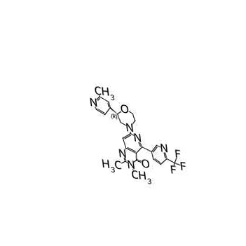 Cc1cc([C@@H]2CN(c3cc4nc(C)n(C)c(=O)c4c(-c4ccc(C(F)(F)F)nc4)n3)CCO2)ccn1